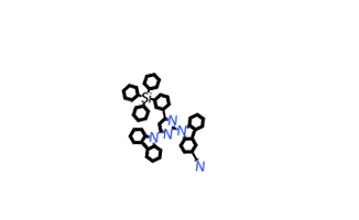 N#Cc1ccc2c(c1)c1ccccc1n2-c1nc(-c2cccc([Si](c3ccccc3)(c3ccccc3)c3ccccc3)c2)cc(-n2c3ccccc3c3ccccc32)n1